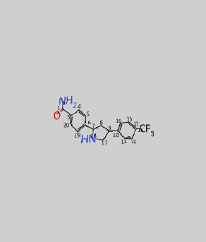 NC(=O)c1ccc(C2CC(c3ccc(C(F)(F)F)cc3)CN2)cc1